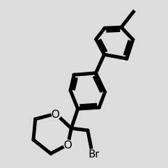 Cc1ccc(-c2ccc(C3(CBr)OCCCO3)cc2)cc1